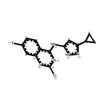 Fc1ccc2c(Nc3cc(C4CC4)n[nH]3)nc(Cl)nc2c1